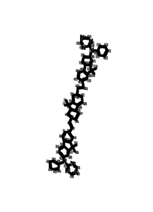 CC1(C)c2cc(/C=C/c3ccc4c(c3)C(C)(C)c3cc(N(c5ccccc5)c5ncncn5)ccc3-4)ccc2-c2ccc(/C=C/c3ccc4c(c3)C(C)(C)c3cc(N(c5ccccc5)c5ncncn5)ccc3-4)cc21